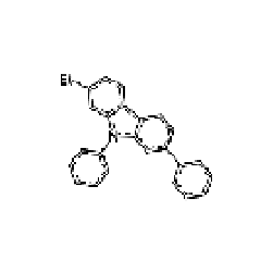 CCc1ccc2c3ccc(-c4ccccc4)cc3n(-c3ccccc3)c2c1